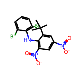 CC(C)(C)c1cc([N+](=O)[O-])cc([N+](=O)[O-])c1Nc1c(Br)cccc1Br